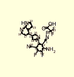 N#Cc1c(N)c(F)c(F)c(C#N)c1-n1cc(-c2ccnc3[nH]ccc23)cn1.O=C(O)C(F)(F)F